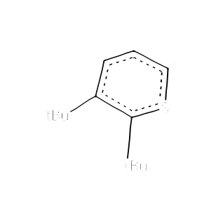 CC(C)(C)c1ccc[s+]c1C(C)(C)C